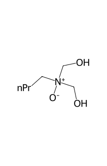 CCCC[N+]([O-])(CO)CO